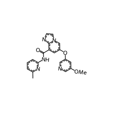 COc1cncc(Oc2cc(C(=O)Nc3cccc(C)n3)c3nccn3c2)c1